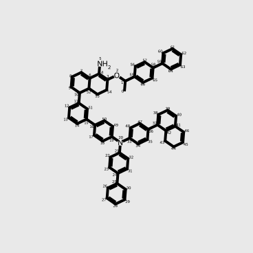 CC(OC1=C(N)C2=CC=CC(c3cccc(-c4ccc(N(c5ccc(-c6ccccc6)cc5)c5ccc(-c6cccc7c6CCC=C7)cc5)cc4)c3)C2CC1)c1ccc(-c2ccccc2)cc1